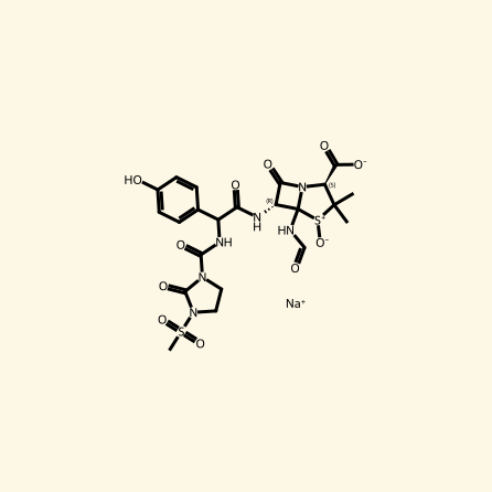 CC1(C)[C@H](C(=O)[O-])N2C(=O)[C@@H](NC(=O)C(NC(=O)N3CCN(S(C)(=O)=O)C3=O)c3ccc(O)cc3)C2(NC=O)[S+]1[O-].[Na+]